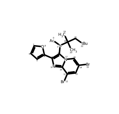 CC(=O)N(c1c(-c2ccco2)nc2c(Br)cc(Br)cn12)C(C)(C)CC(C)(C)C